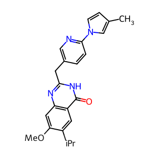 COc1cc2nc(Cc3ccc(-n4ccc(C)c4)nc3)[nH]c(=O)c2cc1C(C)C